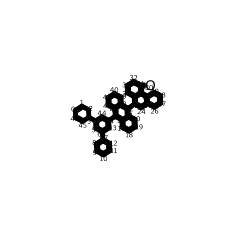 C1=CCC(c2cc(-c3ccccc3)cc(-c3c4ccccc4c(-c4cc5cccc6oc7cccc4c7c56)c4ccccc34)c2)C=C1